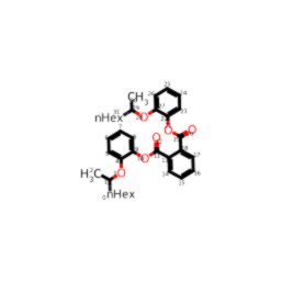 CCCCCCC(C)Oc1ccccc1OC(=O)c1ccccc1C(=O)Oc1ccccc1OC(C)CCCCCC